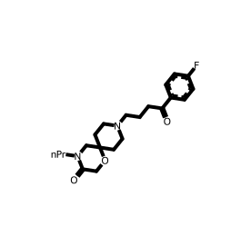 CCCN1CC2(CCN(CCCC(=O)c3ccc(F)cc3)CC2)OCC1=O